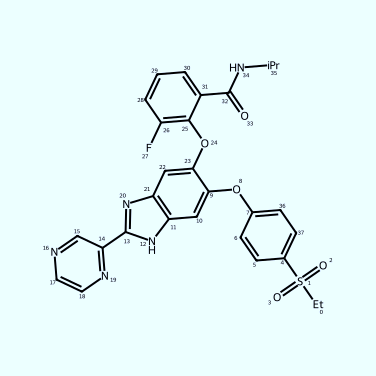 CCS(=O)(=O)c1ccc(Oc2cc3[nH]c(-c4cnccn4)nc3cc2Oc2c(F)cccc2C(=O)NC(C)C)cc1